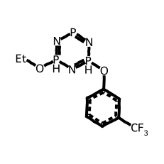 CCO[PH]1=NP=N[PH](Oc2cccc(C(F)(F)F)c2)=N1